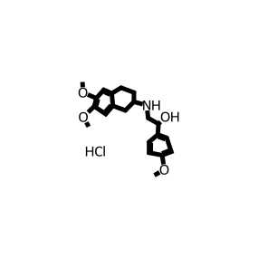 COc1ccc(C(O)CNC2CCc3cc(OC)c(OC)cc3C2)cc1.Cl